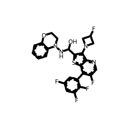 OC(NN1CCOc2ccccc21)c1sc2c(-c3cc(F)cc(F)c3F)c(F)cnc2c1N1CC(F)C1